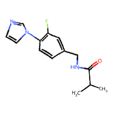 CC(C)C(=O)NCc1ccc(-n2ccnc2)c(F)c1